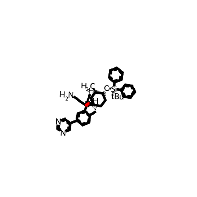 [2H]C1([2H])OC(N)=NC12c1cc(-c3cncnc3)ccc1C[C@]21CC[C@@H](O[Si](c2ccccc2)(c2ccccc2)C(C)(C)C)[C@H](C)C1